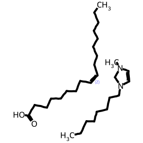 CCCCCCCC/C=C\CCCCCCCC(=O)O.CCCCCCCCN1C=CN(C)C1